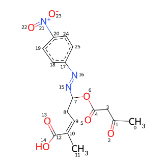 CC(=O)CC(=O)OC(CC=C(C)C(=O)O)N=Nc1ccc([N+](=O)[O-])cc1